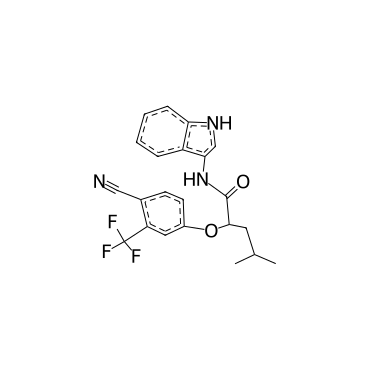 CC(C)CC(Oc1ccc(C#N)c(C(F)(F)F)c1)C(=O)Nc1c[nH]c2ccccc12